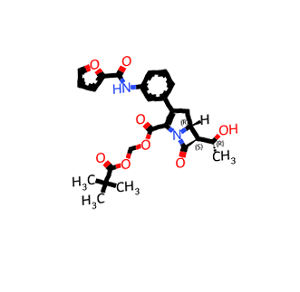 C[C@@H](O)[C@H]1C(=O)N2C(C(=O)OCOC(=O)C(C)(C)C)=C(c3cccc(NC(=O)c4ccco4)c3)C[C@H]12